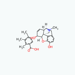 CN1CC[C@]23c4c5ccc(O)c4O[C@H]2[C@@H](O)C=C[C@H]3[C@H]1C5.Cc1ccc(C(=O)O)c(C)c1C